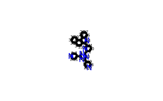 c1cc(-c2nc(-c3ccncc3)nc(-c3ccncc3)n2)nc(-c2nc3ccccc3c3c2ccc2ccccc23)c1